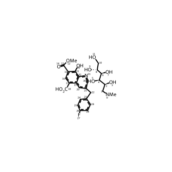 CNC[C@H](O)[C@@H](O)[C@H](O)[C@H](O)CO.COC(=O)c1cc(C(=O)O)c2cc(Cc3ccc(F)cc3)cnc2c1O